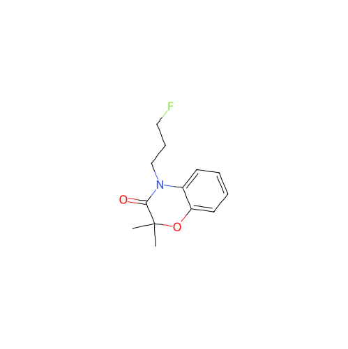 CC1(C)Oc2ccccc2N(CCCF)C1=O